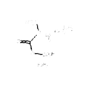 O=C(O)OC(=O)OC(=O)O.[BaH2].[BaH2].[CaH2].[CaH2]